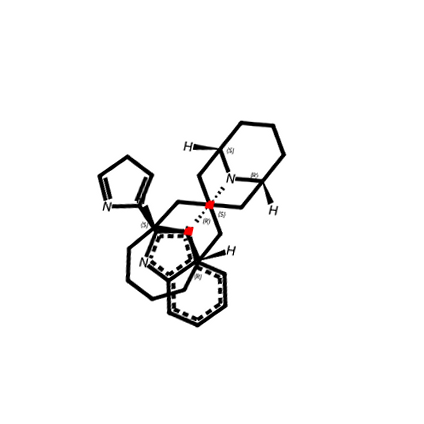 C1=NC(c2nc3ccccc3n2[C@H]2C[C@H]3CCC[C@@H](C2)N3[C@@H]2C[C@@H]3CCCC[C@@H](C3)C2)=CC1